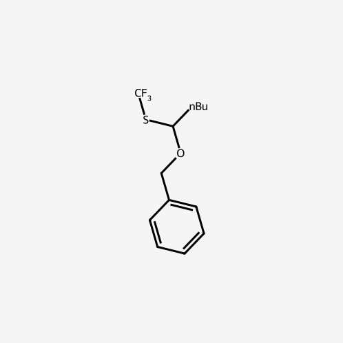 CCCCC(OCc1ccccc1)SC(F)(F)F